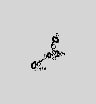 COc1ccccc1OCCCCOc1ccc(N2C(=O)CNC[C@@H]2COCc2ccc(F)cc2)cc1